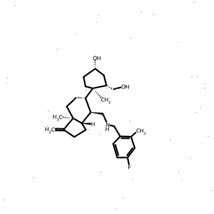 C=C1CC[C@H]2[C@H](CNCc3ccc(F)cc3C)[C@@H]([C@@]3(C)CC[C@H](O)C[C@@H]3CO)CC[C@]12C